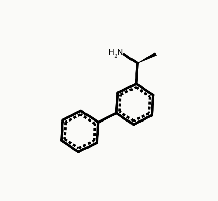 C[C@H](N)c1cccc(-c2ccccc2)c1